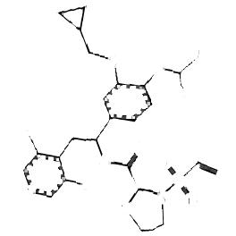 C=CS(=O)(=O)N1CCS[C@H]1C(=O)OC(Cc1c(Cl)cncc1Cl)c1ccc(OC(F)F)c(OCC2CC2)c1